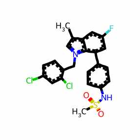 Cc1cn(Cc2ccc(Cl)cc2Cl)c2c(-c3ccc(NS(C)(=O)=O)cc3)cc(F)cc12